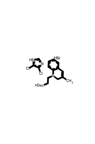 Br.CCCCCCCCCCCCN1CC(C)=Cc2ccccc21.Clc1nc[nH]c1Cl